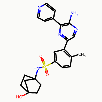 Cc1ccc(S(=O)(=O)NC23CCC(O)(CC2)C3)cc1-c1cnc(N)c(-c2ccncc2)n1